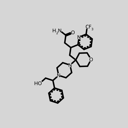 NC(=O)CC(CC1(N2CCN(C(CO)c3ccccc3)CC2)CCOCC1)c1cccc(C(F)(F)F)n1